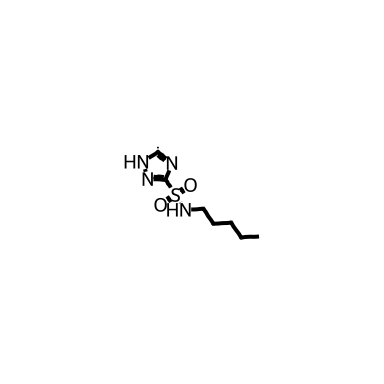 CCCCCNS(=O)(=O)c1n[c][nH]n1